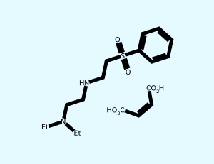 CCN(CC)CCNCCS(=O)(=O)c1ccccc1.O=C(O)/C=C\C(=O)O